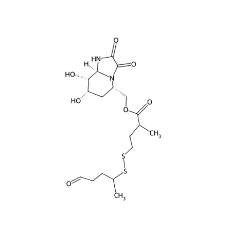 CC(CCC=O)SSCCC(C)C(=O)OC[C@@H]1C[C@H](O)[C@H](O)[C@H]2NC(=O)C(=O)N12